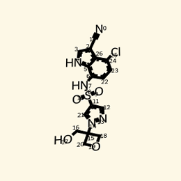 N#Cc1c[nH]c2c(NS(=O)(=O)c3cnn(C4(CO)COC4)c3)ccc(Cl)c12